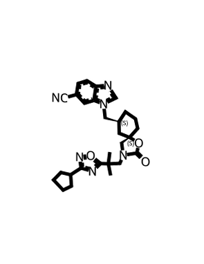 CC(C)(CN1C[C@@]2(CCC[C@H](Cn3cnc4ccc(C#N)cc43)C2)OC1=O)c1nc(C2CCCC2)no1